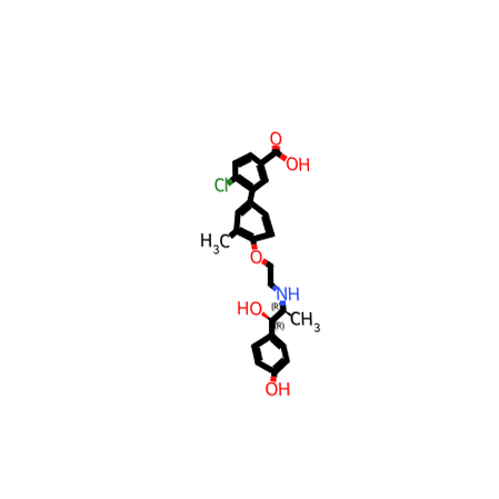 Cc1cc(-c2cc(C(=O)O)ccc2Cl)ccc1OCCN[C@H](C)[C@H](O)c1ccc(O)cc1